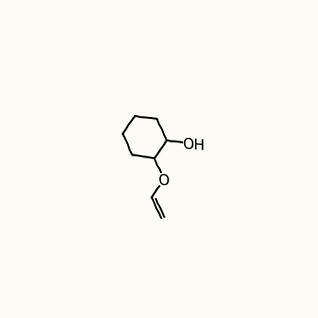 C=COC1CCCCC1O